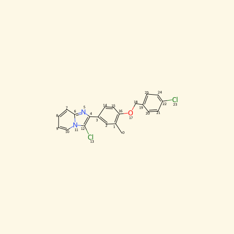 Cc1cc(-c2nc3ccccn3c2Cl)ccc1OCc1ccc(Cl)cc1